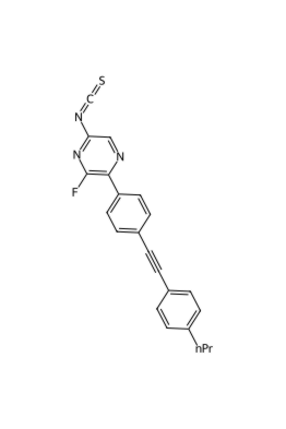 CCCc1ccc(C#Cc2ccc(-c3ncc(N=C=S)nc3F)cc2)cc1